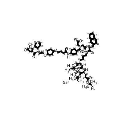 CN1C(=O)C[C@H](C(=O)NCCOC2CCC(OCCCC(=O)NC3CCC(C(=O)N(CC(=O)[O-])CC(=O)N[C@@H](Cc4ccc5ccccc5c4)C(=O)NCCCC[C@H](NC(=O)N[C@@H](CCC(=O)OC(C)(C)C)C(=O)OC(C)(C)C)C(=O)OC(C)(C)C)CC3)CC2)[C@H]1c1cccnc1.[Na+]